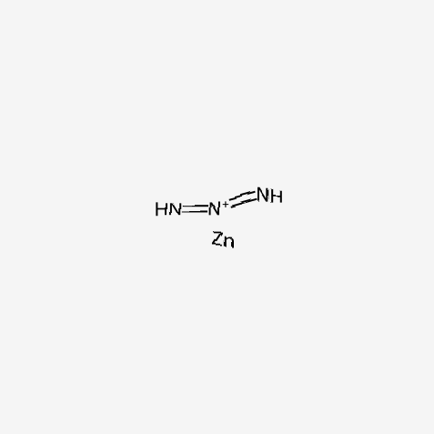 N=[N+]=N.[Zn]